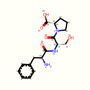 N[C@@H](Cc1ccccc1)C(=O)N[C@@H](CO)C(=O)N1CCC[C@H]1C(=O)O